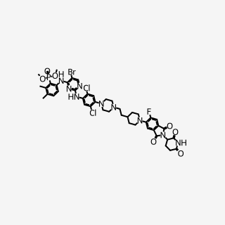 COP(=O)(OC)c1c(Nc2nc(Nc3cc(Cl)c(N4CCN(CCC5CCN(c6cc7c(cc6F)C(=O)N(C6CCC(=O)NC6=O)C7=O)CC5)CC4)cc3Cl)ncc2Br)ccc(C)c1C